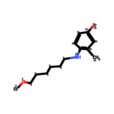 CCOCCCCCCNc1ccc(Br)cc1C